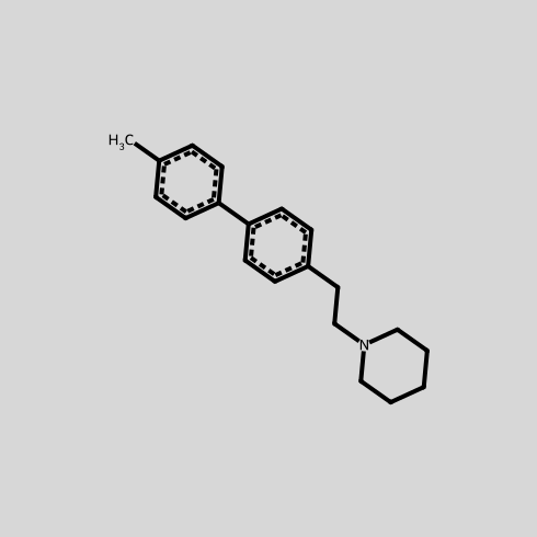 Cc1ccc(-c2ccc(CCN3CCCCC3)cc2)cc1